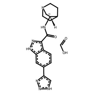 O=C(N[C@@H]1CN2CCC1CC2)c1n[nH]c2cc(-c3c[nH]nn3)ccc12.O=CO